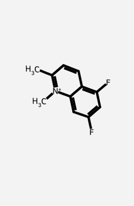 Cc1ccc2c(F)cc(F)cc2[n+]1C